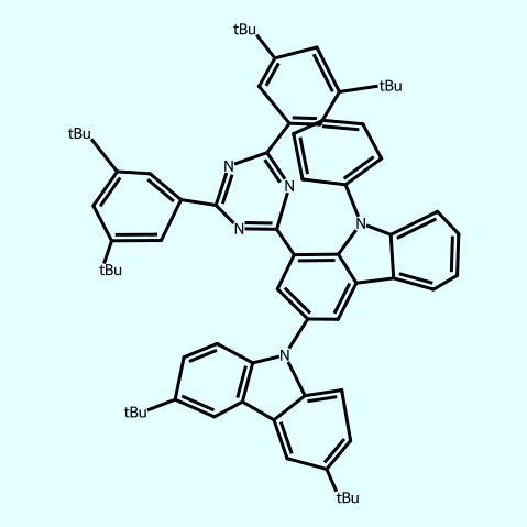 CC(C)(C)c1cc(-c2nc(-c3cc(C(C)(C)C)cc(C(C)(C)C)c3)nc(-c3cc(-n4c5ccc(C(C)(C)C)cc5c5cc(C(C)(C)C)ccc54)cc4c5ccccc5n(-c5ccccc5)c34)n2)cc(C(C)(C)C)c1